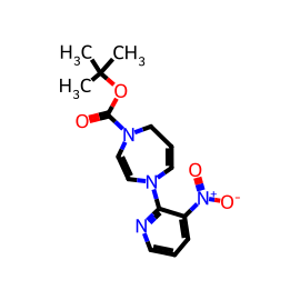 CC(C)(C)OC(=O)N1C=CN(c2ncccc2[N+](=O)[O-])C=CC1